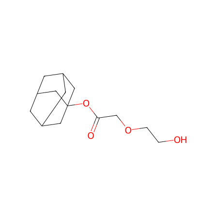 O=C(COCCO)OC12CC3CC(CC(C3)C1)C2